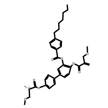 C=C(COC)C(=O)Oc1ccc(-c2ccc(OC(=O)[C@@H](C)COC)cc2)cc1OC(=O)c1ccc(CCCCCCC)cc1